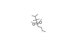 CCCC[Si](OC)(OC)C(C)(C)C(C)C